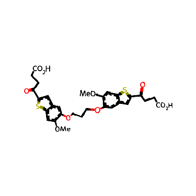 COc1cc2sc(C(=O)CCC(=O)O)cc2cc1OCCCOc1cc2cc(C(=O)CCC(=O)O)sc2cc1OC